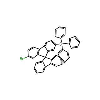 Brc1ccc2c(c1)C1(c3ccccc3-c3ccccc31)c1cc([Si](c3ccccc3)(c3ccccc3)c3ccccc3)ccc1-2